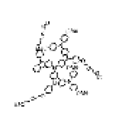 CCOCCOCCOc1ccc(-n2c3ccccc3c3cc(N(c4ccc5c(c4)c4cc(N(c6ccc(OC)cc6)c6ccc(OC)cc6)ccc4n5-c4ccc(OCCOCCOCC)cc4)c4ccc5c(c4)c4cc(N(c6ccc(OC)cc6)c6ccc(OC)cc6)ccc4n5-c4ccc(OCCOCCOCC)cc4)ccc32)cc1